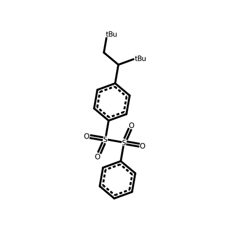 CC(C)(C)CC(c1ccc(S(=O)(=O)S(=O)(=O)c2ccccc2)cc1)C(C)(C)C